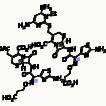 CC(=O)OCC1=C(C(=O)O)N2C(=O)C(NC(=O)/C(=N\OCCC(=O)O)c3csc(N)n3)[C@@H]2SC1.CCN1C(SCC2=C(C(=O)O)N3C(=O)C(NC(=O)/C(=N\OCCC(=O)O)c4csc(N)n4)[C@@H]3SC2)=NC(N)=CC1N